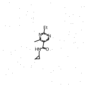 CCc1ncc(C(=O)NC2CC2)c(C)n1